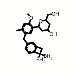 BC1(B)Cc2cc(Cc3cc(C4CC(O)CC(CO)O4)c(OC)cc3C)ccc21